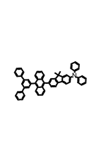 CC1(C)c2cc(-c3c4ccccc4c(-c4cc(-c5ccccc5)cc(-c5ccccc5)c4)c4ccccc34)ccc2-c2ccc(N(c3ccccc3)c3ccccc3)cc21